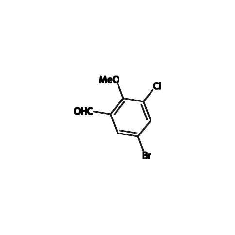 COc1c(Cl)cc(Br)cc1C=O